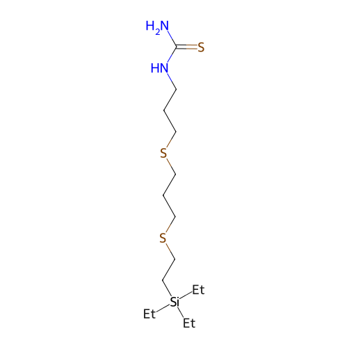 CC[Si](CC)(CC)CCSCCCSCCCNC(N)=S